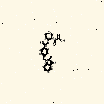 Cc1c(C)n(Cc2ccc(C(=O)N[C@@H]3CCOC[C@@H]3C(=O)NO)cc2)c2ccccc12